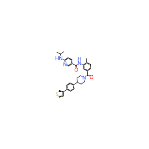 Cc1ccc(C(=O)N2CCC(c3ccc(-c4ccsc4)cc3)CC2)cc1NC(=O)c1ccc(NC(C)C)nc1